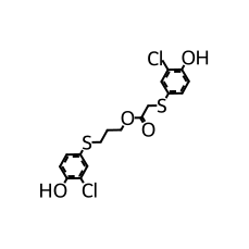 O=C(CSc1ccc(O)c(Cl)c1)OCCCSc1ccc(O)c(Cl)c1